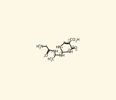 CC(NC(=O)CN)NC1NC=C(C(=O)O)C(=O)N1